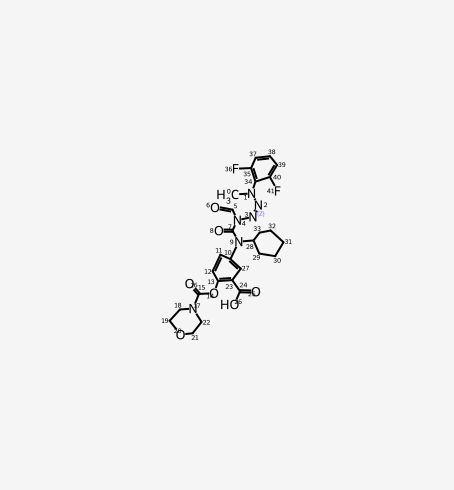 CN(/N=N\N(C=O)C(=O)N(c1ccc(OC(=O)N2CCOCC2)c(C(=O)O)c1)C1CCCCC1)c1c(F)cccc1F